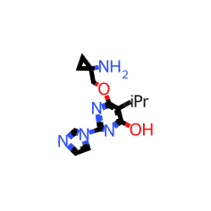 CC(C)c1c(O)nc(-n2ccnc2)nc1OCC1(N)CC1